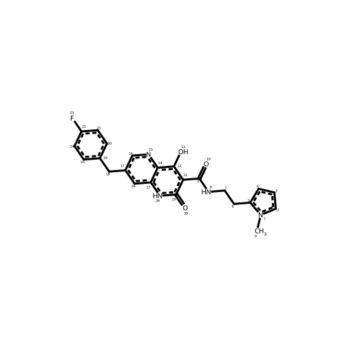 Cn1cccc1CCNC(=O)c1c(O)c2ncc(Cc3ccc(F)cc3)cc2[nH]c1=O